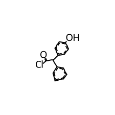 O=C(Cl)C(c1ccccc1)c1ccc(O)cc1